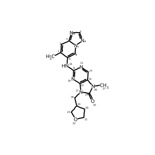 Cc1cc2ncnn2cc1Nc1ncc2c(n1)n(CC1CCOC1)c(=O)n2C